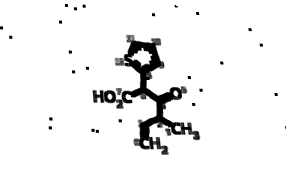 C=CC(C)C(=O)C(C(=O)O)c1cccs1